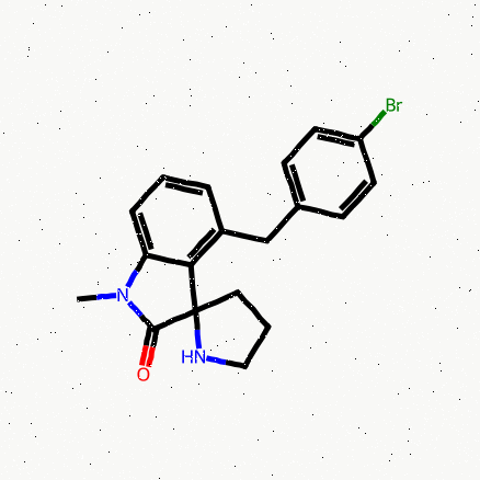 CN1C(=O)C2(CCCN2)c2c(Cc3ccc(Br)cc3)cccc21